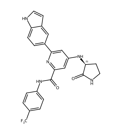 O=C(Nc1ccc(C(F)(F)F)cc1)c1cc(N[C@H]2CCNC2=O)cc(-c2ccc3[nH]ccc3c2)n1